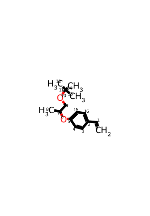 C=Cc1ccc(OC(C)COC(C)(C)C)cc1